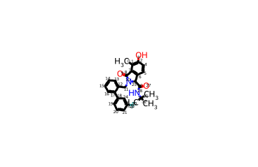 Cc1c(O)ccc2c1C(=O)N(Cc1ccccc1-c1cccc(F)c1)C2C(=O)NC(C)(C)C